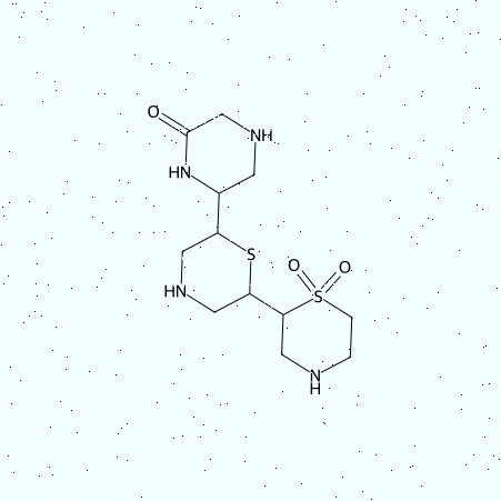 O=C1CNCC(C2CNCC(C3CNCCS3(=O)=O)S2)N1